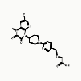 Cn1c(=O)c(=O)n(C2CCN(c3ncc(COCC(=O)O)cn3)CC2)c2ncc(F)cc21